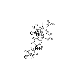 Cn1cc(-n2ncc3cc(N4C(=O)C(C)(C)C(NCC5CC5)[C@H]4c4ccccc4)ccc32)ccc1=O